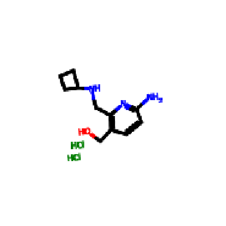 Cl.Cl.Nc1ccc(CO)c(CNC2CCC2)n1